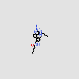 CCCCCC(=O)NCc1ccc(Cn2c(CCCC)nc3c(N)nc4ccccc4c32)cc1